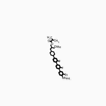 C=C(C)C(=O)OCC(COC)CC1CCC(c2ccc(-c3ccc(-c4ccc(CCCCC)c(CC)c4)c(F)c3)c(F)c2)CC1